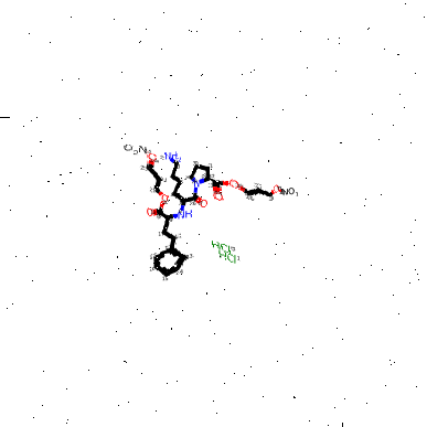 Cl.Cl.NCCCCC(NC(CCc1ccccc1)C(=O)OCCCO[N+](=O)[O-])C(=O)N1CCC[C@H]1C(=O)OCCCO[N+](=O)[O-]